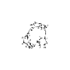 c1cc2nc3oc2cc1-c1ccc2nc(oc2c1)-c1cnc-3cn1